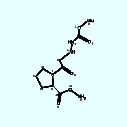 CC(C)(C)OC(=O)NNCC(=O)N1CCC[C@H]1C(=O)ON